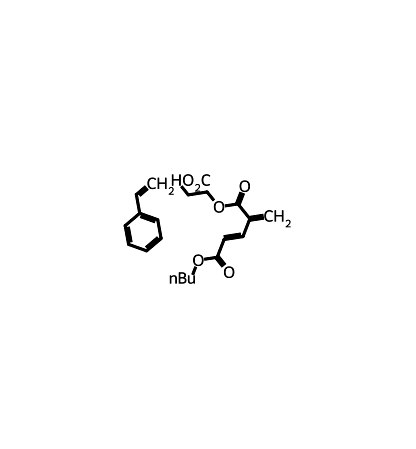 C=C(C=CC(=O)OCCCC)C(=O)OCCC(=O)O.C=Cc1ccccc1